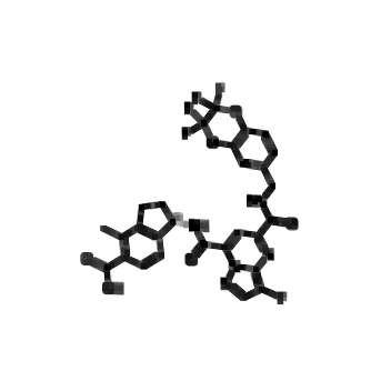 Cc1c(C(=O)O)ccc2c1CC[C@@H]2NC(=O)c1cc(C(=O)NCc2ccc3c(c2)OC(F)(F)C(F)(F)O3)nc2c(F)cnn12